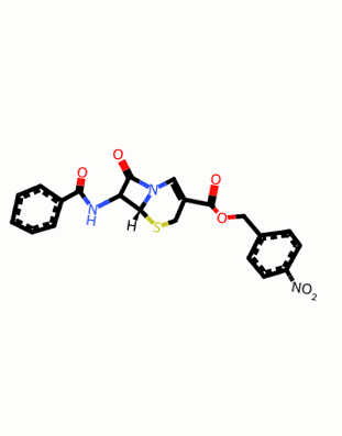 O=C(OCc1ccc([N+](=O)[O-])cc1)C1=CN2C(=O)C(NC(=O)c3ccccc3)[C@H]2SC1